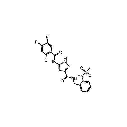 CS(=O)(=O)Nc1ccccc1CNC(=O)c1cc(NC(=O)c2cc(F)c(F)cc2Cl)[nH]n1